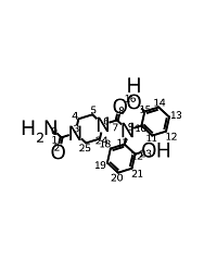 NC(=O)N1CCN(C(=O)N(c2ccccc2O)c2ccccc2O)CC1